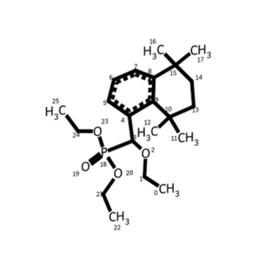 CCOC(c1cccc2c1C(C)(C)CCC2(C)C)P(=O)(OCC)OCC